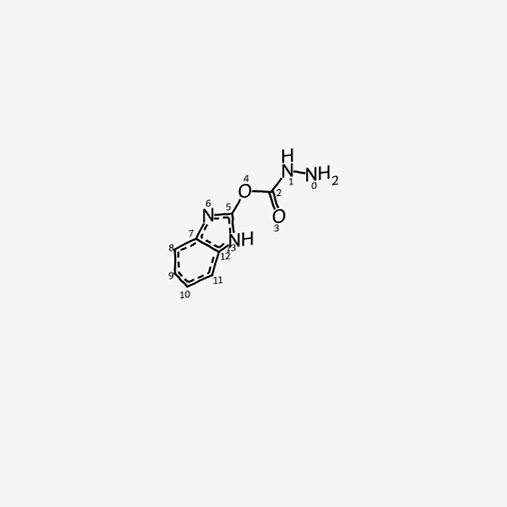 NNC(=O)Oc1nc2ccccc2[nH]1